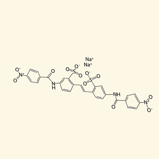 O=C(Nc1ccc(/C=C/c2ccc(NC(=O)c3ccc([N+](=O)[O-])cc3)cc2S(=O)(=O)[O-])c(S(=O)(=O)[O-])c1)c1ccc([N+](=O)[O-])cc1.[Na+].[Na+]